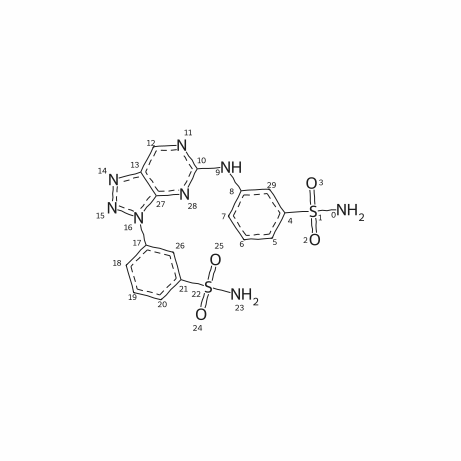 NS(=O)(=O)c1cccc(Nc2ncc3nnn(-c4cccc(S(N)(=O)=O)c4)c3n2)c1